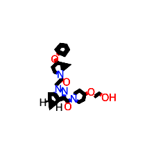 O=C(c1nn(CC(=O)N2CCC(Oc3ccccc3)C3CC32)c2c1[C@@H]1C[C@@H]1C2)N1CCC(OCCO)CC1